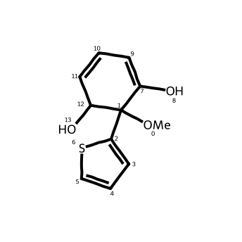 COC1(c2cccs2)C(O)=CC=CC1O